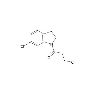 O=C(CCCl)N1CCc2ccc(Cl)cc21